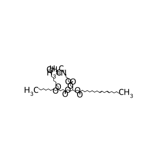 CCCCC/C=C/C/C=C/CCCCCCCC(=O)OCC(COC(=O)CCC(OCCCCCCCC)OCCCCCCCC)COC(=O)OCCCN(CC)CC